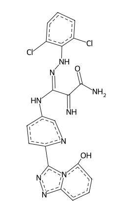 N=C(C(N)=O)/C(=N\Nc1c(Cl)cccc1Cl)Nc1ccc(-c2nnc3cccc(O)n23)nc1